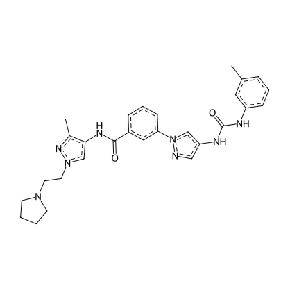 Cc1cccc(NC(=O)Nc2cnn(-c3cccc(C(=O)Nc4cn(CCN5CCCC5)nc4C)c3)c2)c1